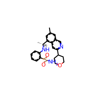 Cc1cc([C@@H](C)Nc2ccccc2S(N)(=O)=O)c2cc(C3CCOCC3)ncc2c1